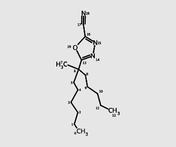 CCCCCCC(C)(CCCCC)c1nnc(C#N)o1